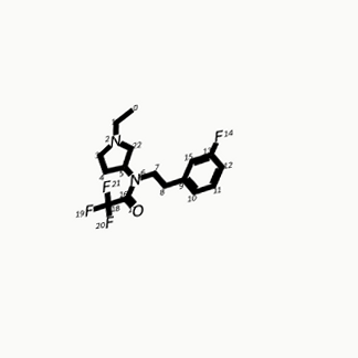 CCN1CCC(N(CCc2cccc(F)c2)C(=O)C(F)(F)F)C1